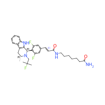 C[C@@H]1Cc2c([nH]c3ccccc23)[C@@H](c2c(F)cc(/C=C/C(=O)NCCCCCCC(N)=O)cc2F)N1CC(C)(C)F